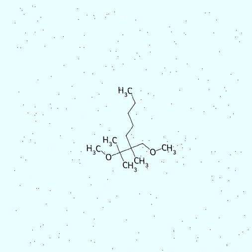 CCCCCC(C)(COC)C(C)(C)OC